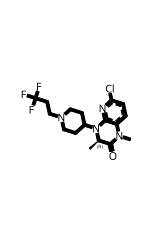 C[C@@H]1C(=O)N(C)c2ccc(Cl)nc2N1C1CCN(CCC(F)(F)F)CC1